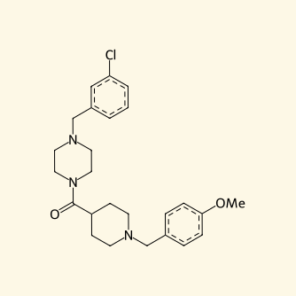 COc1ccc(CN2CCC(C(=O)N3CCN(Cc4cccc(Cl)c4)CC3)CC2)cc1